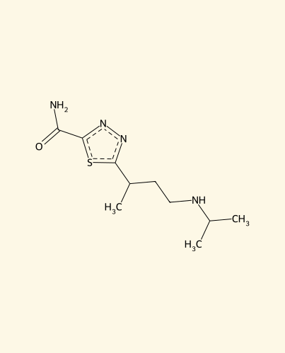 CC(C)NCCC(C)c1nnc(C(N)=O)s1